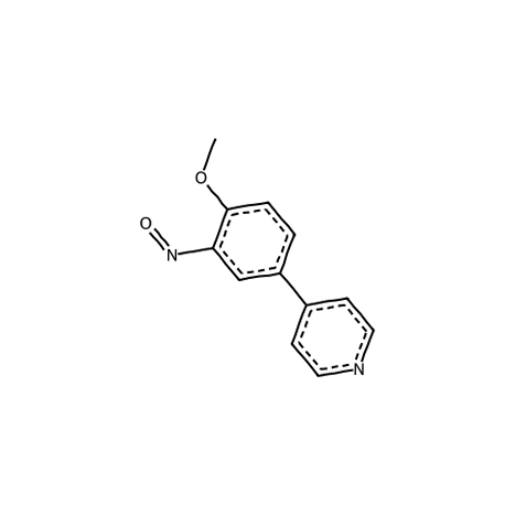 COc1ccc(-c2ccncc2)cc1N=O